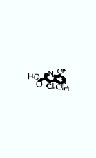 COc1cccc2c(Cl)c(C(=O)O)cnc12.Cl